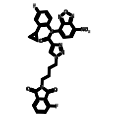 O=C1c2cccc(F)c2C(=O)N1CCCCn1cc(C(=O)N(c2ccc(F)cc2C2CC2)c2ccc([N+](=O)[O-])c3nonc23)nn1